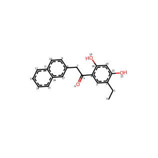 CCc1cc(C(=O)Cc2ccc3ccccc3c2)c(O)cc1O